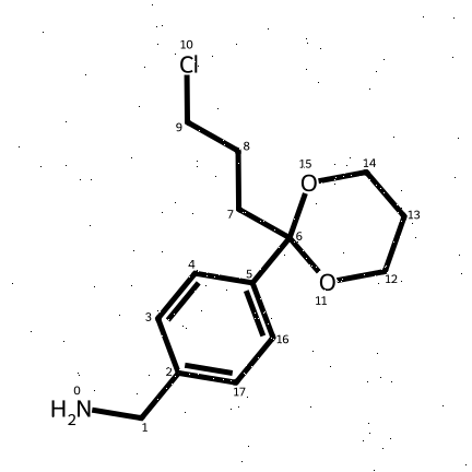 NCc1ccc(C2(CCCCl)OCCCO2)cc1